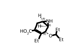 CCC1=C(C(=O)O)C[C@H]2N[C@H]2[C@@H]1OC(CC)CC